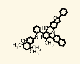 Cc1cc(-c2ccccc2Nc2ccc3c(c2)C(C)(C)CCC3(C)C)c2c3c1c1cc4ccccc4cc1n3-c1cc3cc(-c4ccccc4)oc3cc1B2